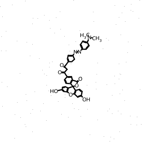 CN(C)c1ccc(N=NC2=CC=C(C(=O)CC(=O)c3ccc4c(c3)C(=O)OC43c4ccc(O)cc4Oc4cc(O)ccc43)CC2)cc1